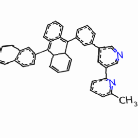 Cc1cccc(-c2cncc(-c3cccc(C4=c5ccccc5=C(c5ccc6c(c5)CCC=C6)C5C=CC=CC45)c3)c2)n1